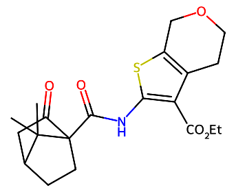 CCOC(=O)c1c(NC(=O)C23CCC(CC2=O)C3(C)C)sc2c1CCOC2